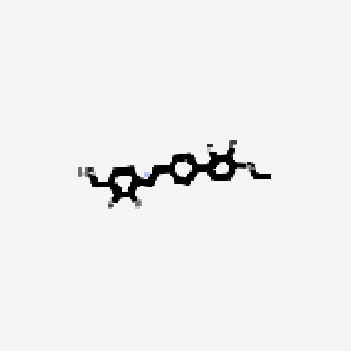 CCOc1ccc(C2CCC(/C=C/c3ccc(CO)c(F)c3F)CC2)c(F)c1F